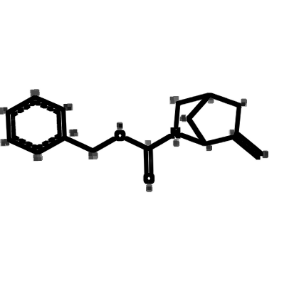 C=C1CC2CC1N(C(=O)OCc1ccccc1)C2